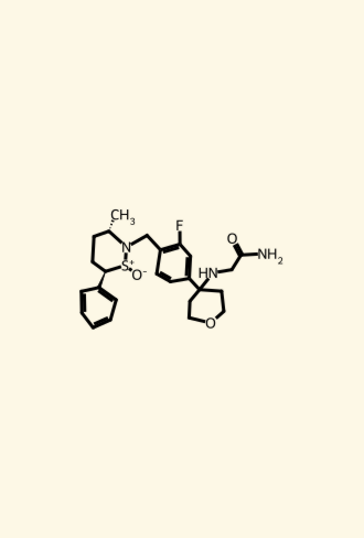 C[C@H]1CC[C@H](c2ccccc2)[S+]([O-])N1Cc1ccc(C2(NCC(N)=O)CCOCC2)cc1F